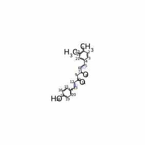 Cc1ccc(/C=C/C(=O)CC(=O)/C=C/c2ccc(O)cc2)cc1C